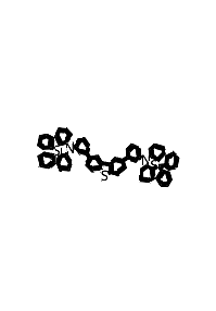 c1ccc([Si]2(c3ccccc3)c3ccccc3N(c3cccc(-c4ccc5sc6ccc(-c7cccc(N8c9ccccc9[Si](c9ccccc9)(c9ccccc9)c9ccccc98)c7)cc6c5c4)c3)c3ccccc32)cc1